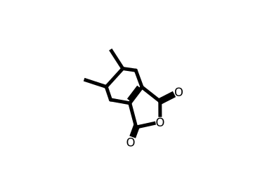 CC1CC2=C(CC1C)C(=O)OC2=O